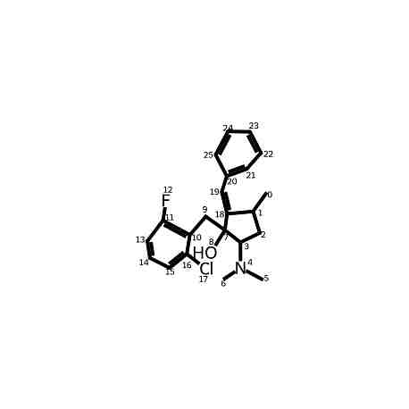 CC1CC(N(C)C)C(O)(Cc2c(F)cccc2Cl)C1=Cc1ccccc1